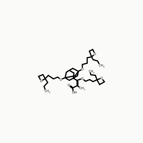 CCCC1(CCCOC(=C(C)C(=O)O)C23CC4CC(OCCCC5(CCC)CCO5)(CC(OCCCC5(CCC)CCO5)(C4)C2)C3)CCO1